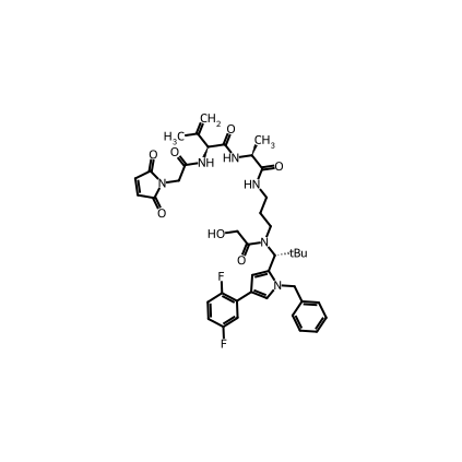 C=C(C)[C@H](NC(=O)CN1C(=O)C=CC1=O)C(=O)N[C@@H](C)C(=O)NCCCN(C(=O)CO)[C@@H](c1cc(-c2cc(F)ccc2F)cn1Cc1ccccc1)C(C)(C)C